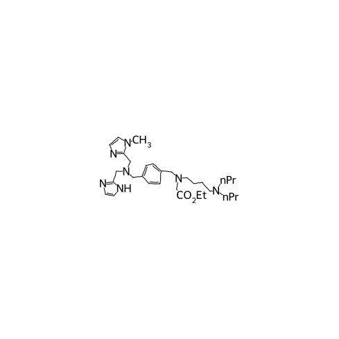 CCCN(CCC)CCCCN(CC(=O)OCC)Cc1ccc(CN(Cc2ncc[nH]2)Cc2nccn2C)cc1